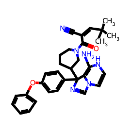 CC(C)(C)/C=C(/C#N)C(=O)N1CCCC(C2(c3ccc(Oc4ccccc4)cc3)N=CN3C=CNC(N)=C32)C1